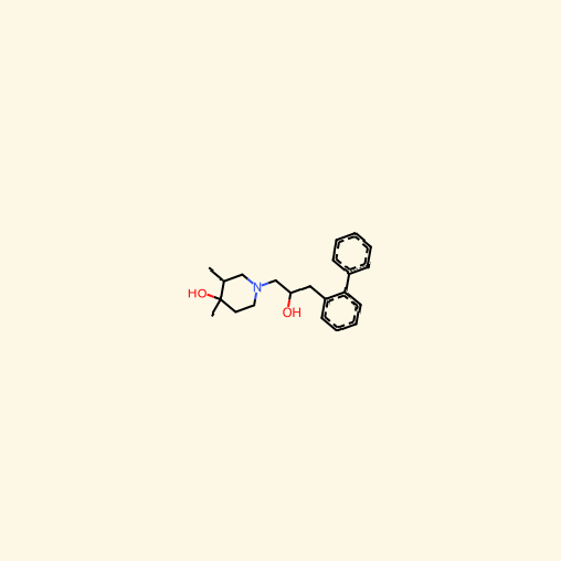 CC1CN(CC(O)Cc2ccccc2-c2ccccc2)CCC1(C)O